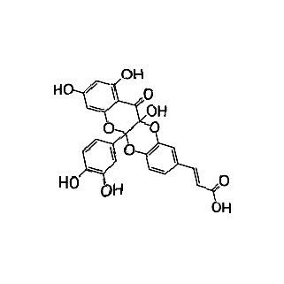 O=C(O)/C=C/c1ccc2c(c1)OC1(O)C(=O)c3c(O)cc(O)cc3OC1(c1ccc(O)c(O)c1)O2